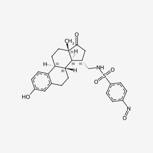 C[C@]12CC[C@@H]3c4ccc(O)cc4CC[C@H]3[C@@H]1[C@@H](CNS(=O)(=O)c1ccc(N=O)cc1)CC2=O